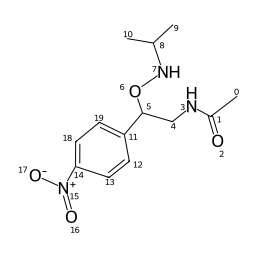 CC(=O)NCC(ONC(C)C)c1ccc([N+](=O)[O-])cc1